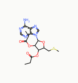 CCC(=O)OC1C(CSC)OC(n2cnc3c(N)ncnc32)C1OC(=O)CC